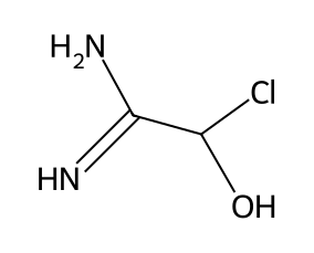 N=C(N)C(O)Cl